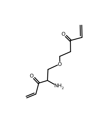 C=CC(=O)CCOCC(N)C(=O)C=C